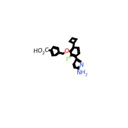 Nc1ccc(-c2ccc(C3CCC3)c(OCc3ccc(C(=O)O)cc3)c2F)cn1